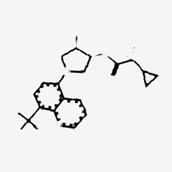 C[C@@H]1CN(c2ccc(C(F)(F)F)c3ncccc23)C[C@@H]1NC(=O)[C@H](O)C1CC1